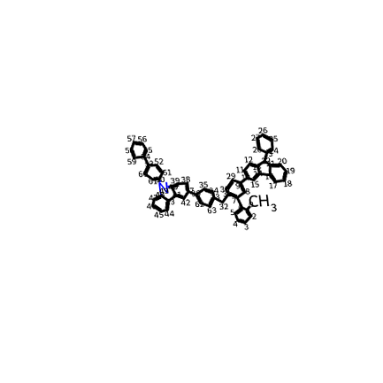 Cc1ccccc1-c1cc(-c2ccc3c(c2)-c2ccccc2C3c2ccccc2)ccc1Cc1ccc(-c2ccc3c(c2)c2ccccc2n3-c2ccc(-c3ccccc3)cc2)cc1